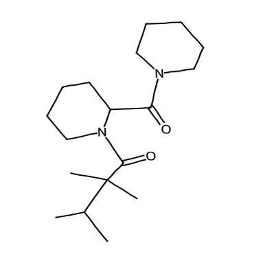 CC(C)C(C)(C)C(=O)N1CCCCC1C(=O)N1CCCCC1